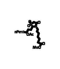 CCCCCC(CCC1N(CCCCCCC(=O)OC)C(=O)CS1(=O)=O)OC(C)=O